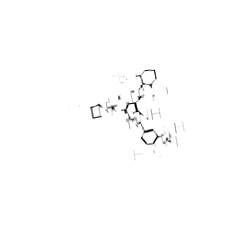 Cc1ccc(-c2nn3c(OC(=O)N4CCC(C)C4)c(C#N)c(C(=O)OC4C(C(C)C)CCCC4C(C)(C)C)c3[nH]2)cc1N(C)C